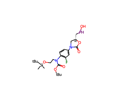 CC(C)(C)OC(=O)N(CCO[Si](C)(C)C(C)(C)C)c1ccc(N2C[C@H](CPO)OC2=O)cc1F